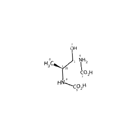 C[C@@H](CO)NC(=O)O.NC(=O)O